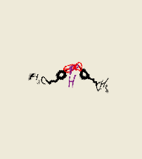 CCCCCc1ccc(OPOc2ccc(CCCCC)cc2)cc1